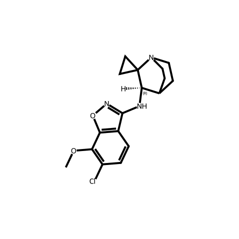 COc1c(Cl)ccc2c(N[C@@H]3C4CCN(CC4)C34CC4)noc12